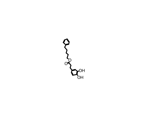 O=C(CCc1ccc(O)c(O)c1)OCCCCCc1ccccc1